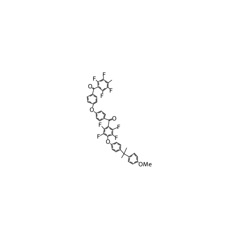 COc1ccc(C(C)(C)c2ccc(Oc3c(F)c(F)c(C(=O)c4ccc(Oc5ccc(C(=O)c6c(F)c(F)c(C)c(F)c6F)cc5)cc4)c(F)c3F)cc2)cc1